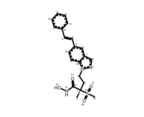 C[C@](CCn1ncc2cc(/C=C/c3ccccc3)ccc21)(C(=O)NO)S(C)(=O)=O